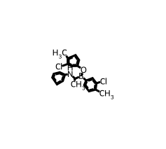 Cc1ccc(OB(c2ccc(C)c(Cl)c2)C(C)Nc2ccccc2)cc1Cl